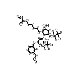 COCc1cccc(C[C@H](/C=C/[C@@H]2[C@@H](CCCCCCC(=O)OC)[C@H](O)C[C@H]2O[Si](C)(C)C(C)(C)C)O[Si](C)(C)C(C)(C)C)c1